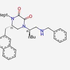 CCCCCCCN1C(=O)C(=O)N([C@H](CCCC)CNCc2ccccc2)C[C@@H]1Cc1ccc2ccccc2c1